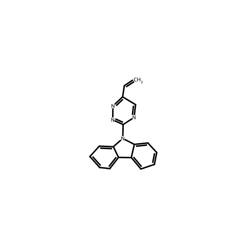 C=Cc1cnc(-n2c3ccccc3c3ccccc32)nn1